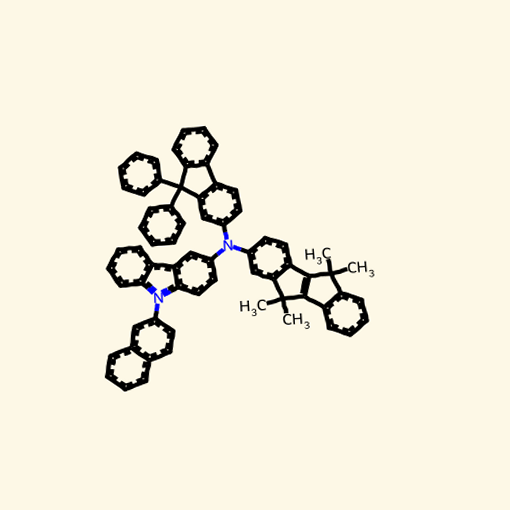 CC1(C)C2=C(c3ccccc31)C(C)(C)c1cc(N(c3ccc4c(c3)C(c3ccccc3)(c3ccccc3)c3ccccc3-4)c3ccc4c(c3)c3ccccc3n4-c3ccc4ccccc4c3)ccc12